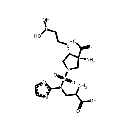 NC(CN(c1ncco1)S(=O)(=O)N1C[C@H](CCCB(O)O)[C@](N)(C(=O)O)C1)C(=O)O